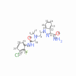 CC(C)N(CCn1nc(C(N)=O)c2ccccc21)CC(=O)Nc1cccc(Cl)c1F